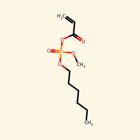 C=CC(=O)OP(=O)(OC)OCCCCCC